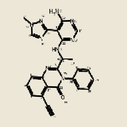 C#Cc1cccc2nc([C@H](C)Nc3ncnc(N)c3-c3ncn(C)n3)n(-c3ccccc3)c(=O)c12